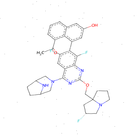 CC(=O)c1cccc2cc(O)cc(-c3c(F)cc4c(N5CC6CCC(C5)N6)nc(OCC56CCCN5C[C@H](F)C6)nc4c3F)c12